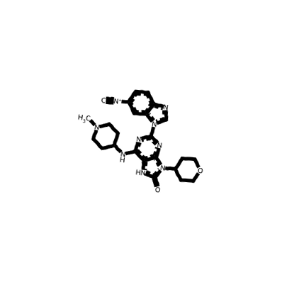 [C-]#[N+]c1ccc2ncn(-c3nc(NC4CCN(C)CC4)c4[nH]c(=O)n(C5CCOCC5)c4n3)c2c1